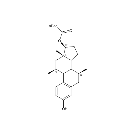 CCCCCCCCCCC(=O)O[C@H]1CCC2C3C(c4ccc(O)cc4C[C@@H]3C)[C@@H](C)C[C@@]21C